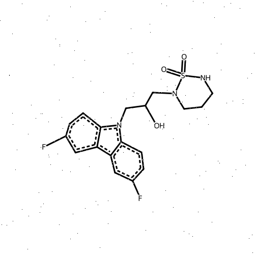 O=S1(=O)NCCCN1CC(O)Cn1c2ccc(F)cc2c2cc(F)ccc21